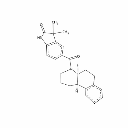 CC1(C)C(=O)Nc2ccc(C(=O)N3CCC[C@@H]4c5ccccc5CC[C@@H]43)cc21